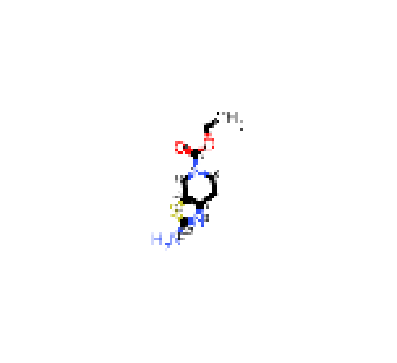 CCOC(=O)N1CCc2nc(N)sc2C1